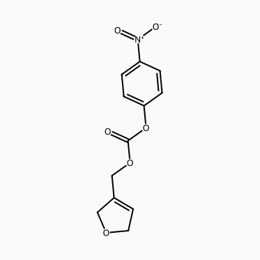 O=C(OCC1=CCOC1)Oc1ccc([N+](=O)[O-])cc1